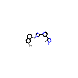 Cc1[nH]nnc1-c1ccnc(-c2cn(C[C@@H]3CCCc4ccc(C(C)C)cc43)cn2)c1